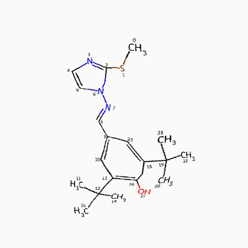 CSc1nccn1N=Cc1cc(C(C)(C)C)c(O)c(C(C)(C)C)c1